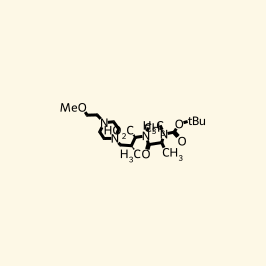 COCCN1CCN(C[C@@H](C)[C@@H](C(=O)O)N(C)C(=O)C(C)N(C)C(=O)OC(C)(C)C)CC1